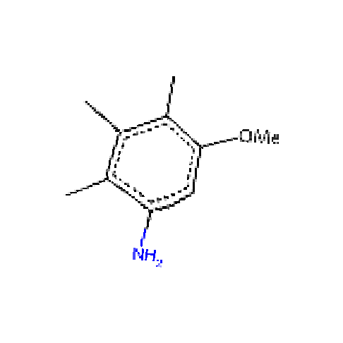 COc1cc(N)c(C)c(C)c1C